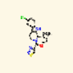 CCOC(=O)C1(C2c3[nH]c4ccc(Cl)cc4c3CCN2C(=O)c2csnn2)CCC1